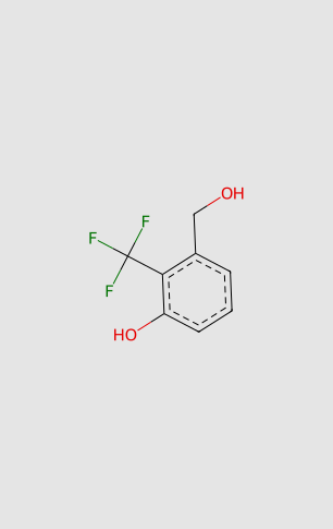 OCc1cccc(O)c1C(F)(F)F